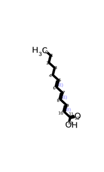 CCCCC/C=C/C=C/C=C/C(=O)O